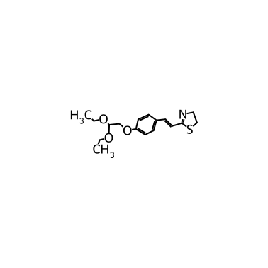 CCOC(COc1ccc(C=CC2=NCCS2)cc1)OCC